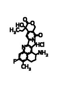 CC[C@]1(O)C(=O)OCc2c1cc1n(c2=O)Cc2c-1nc1cc(F)c(C)c3c1c2C(N)CC3.Cl